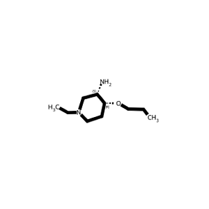 CCCO[C@@H]1CCN(CC)C[C@@H]1N